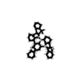 CC1(C)c2ccccc2-c2c1n1c3c(cccc23)-c2c3c(cc4c2sc2ccccc24)-n2c4c(cccc4c4sc5ccccc5c42)B31